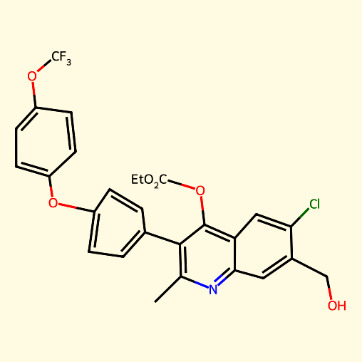 CCOC(=O)Oc1c(-c2ccc(Oc3ccc(OC(F)(F)F)cc3)cc2)c(C)nc2cc(CO)c(Cl)cc12